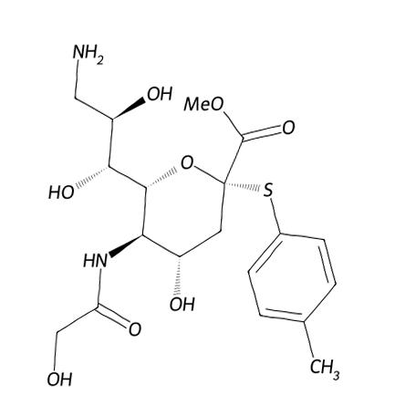 COC(=O)[C@@]1(Sc2ccc(C)cc2)C[C@H](O)[C@@H](NC(=O)CO)[C@H]([C@H](O)[C@H](O)CN)O1